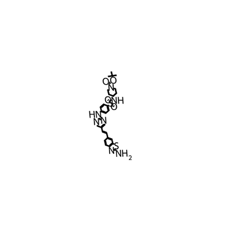 CC(C)(C)OC(=O)N1CCC(NS(=O)(=O)c2ccc(Nc3ncc(/C=C/c4ccc5nc(N)sc5c4)cn3)cc2)CC1